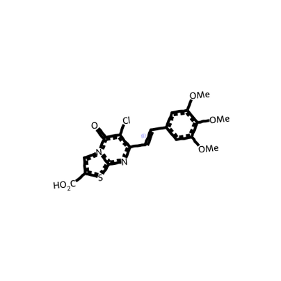 COc1cc(/C=C/c2nc3sc(C(=O)O)cn3c(=O)c2Cl)cc(OC)c1OC